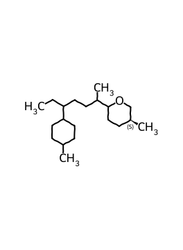 CCC(CCC(C)C1CC[C@H](C)CO1)C1CCC(C)CC1